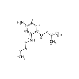 CCCCNc1nc(N)ncc1OCC(C)C